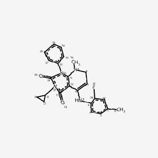 Cc1ccc(NC2=CCN(C)c3c2c(=O)n(C2CC2)c(=O)n3-c2ccccc2)c(F)c1